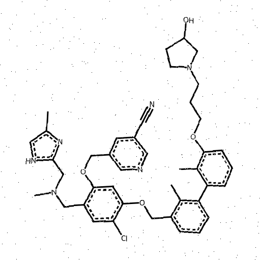 Cc1c[nH]c(CN(C)Cc2cc(Cl)c(OCc3cccc(-c4cccc(OCCCN5CCC(O)C5)c4C)c3C)cc2OCc2cncc(C#N)c2)n1